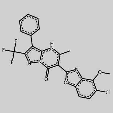 COc1c(Cl)ccc2oc(-c3c(C)[nH]c4c(-c5ccccc5)c(C(F)(F)F)nn4c3=O)nc12